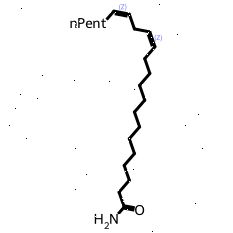 CCCCC/C=C\C/C=C\CCCCCCCCCCCC(N)=O